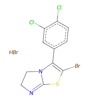 Br.Clc1ccc(C2=C(Br)SC3=NCCN32)cc1Cl